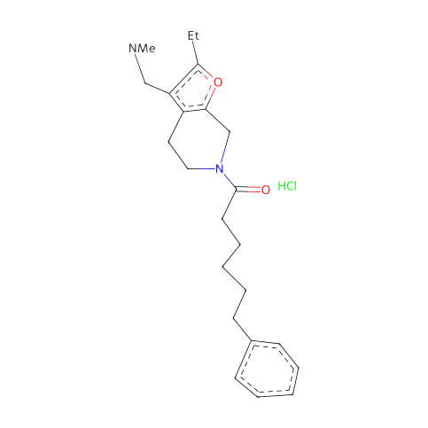 CCc1oc2c(c1CNC)CCN(C(=O)CCCCCc1ccccc1)C2.Cl